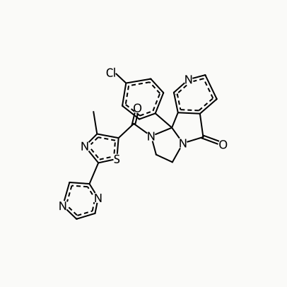 Cc1nc(-c2cnccn2)sc1C(=O)N1CCN2C(=O)c3ccncc3C21c1ccc(Cl)cc1